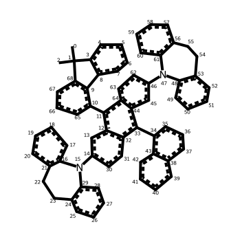 CC1(C)c2ccccc2-c2c(-c3c4cc(N5c6ccccc6CCc6ccccc65)ccc4c(-c4cccc5ccccc45)c4cc(N5c6ccccc6CCc6ccccc65)ccc34)cccc21